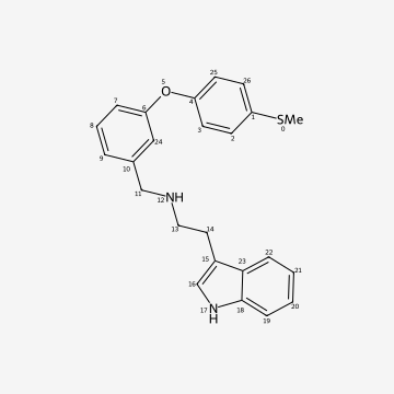 CSc1ccc(Oc2cccc(CNCCc3c[nH]c4ccccc34)c2)cc1